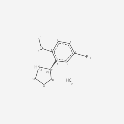 COc1ccc(F)cc1[C@H]1CCCN1.Cl